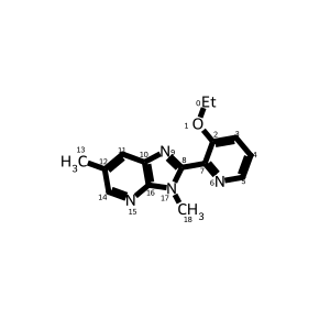 CCOc1cccnc1-c1nc2cc(C)cnc2n1C